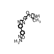 C[C@@H]1CN(C(=O)C2CN(c3cnc4ccc(-c5ccc6oc(N)nc6c5)cc4n3)C2)CCN1